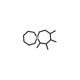 CC1CC[N+]2(CCCCCC2)C(C)C(C)C1C